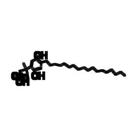 CCCCCCCCCCCCCCCCCCc1cc(O)c(C(C)(C)CS(=O)(=O)O)cc1O